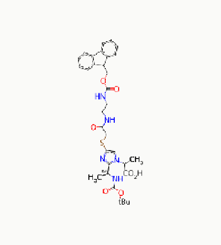 CC(C(=O)O)n1cc(SCC(=O)NCCNC(=O)OCC2c3ccccc3-c3ccccc32)nc1[C@H](C)NC(=O)OC(C)(C)C